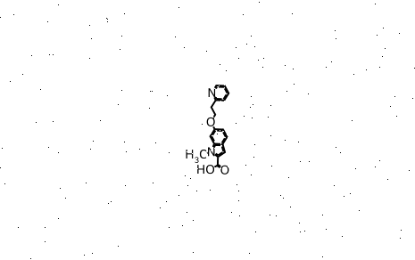 Cn1c(C(=O)O)cc2ccc(OCCc3ccccn3)cc21